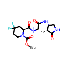 CC(C)(C)OC(=O)N1CCC(F)(F)C[C@H]1C(=O)N[C@@H](C[C@@H]1CCNC1=O)C(N)=O